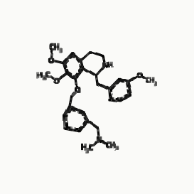 COc1cccc(CC2NCCc3cc(OC)c(OC)c(OCc4cccc(CN(C)C)c4)c32)c1